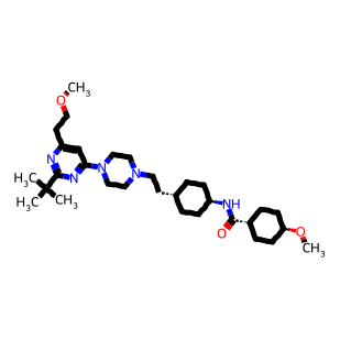 COCCc1cc(N2CCN(CC[C@H]3CC[C@H](NC(=O)[C@H]4CC[C@H](OC)CC4)CC3)CC2)nc(C(C)(C)C)n1